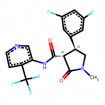 CN1C[C@H](c2cc(F)cc(F)c2)[C@@H](C(=O)Nc2cnccc2C(F)(F)F)C1=O